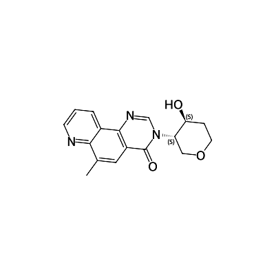 Cc1cc2c(=O)n([C@H]3COCC[C@@H]3O)cnc2c2cccnc12